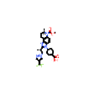 COC(=O)N1c2ccc3c(nc([C@@H](C)Cn4cc(C(F)F)cn4)n3C3CCC(C(=O)O)CC3)c2CC[C@@H]1C